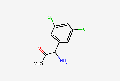 COC(=O)[C](N)c1cc(Cl)cc(Cl)c1